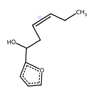 CC/C=C\CC(O)c1ccco1